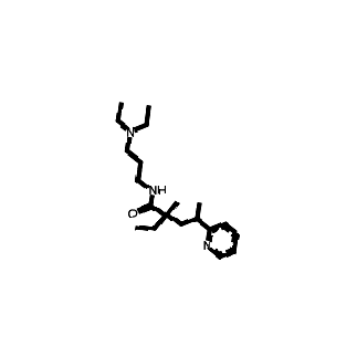 CCN(CC)CCCNC(=O)C(C)(CC)CC(C)c1ccccn1